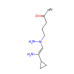 CCCC(=O)CCCN(N)/C=C(\N)C1CC1